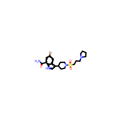 NC(=O)c1cc(Br)cc2c(C3CCN(S(=O)(=O)CCCN4CCCC4)CC3)c[nH]c12